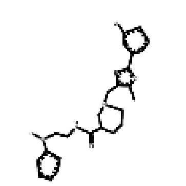 CCN(CCNC(=O)C1CCCN(Cc2nc(-c3cccc(Cl)c3)oc2C)C1)c1ccccc1